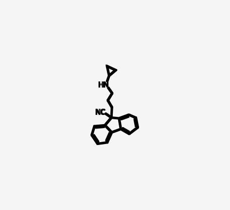 N#CC1(CCCNC2CC2)c2ccccc2-c2ccccc21